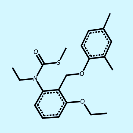 CCOc1cccc(N(CC)C(=O)SC)c1COc1ccc(C)cc1C